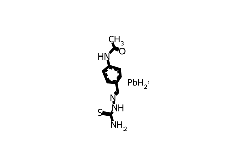 CC(=O)Nc1ccc(C=NNC(N)=S)cc1.[PbH2]